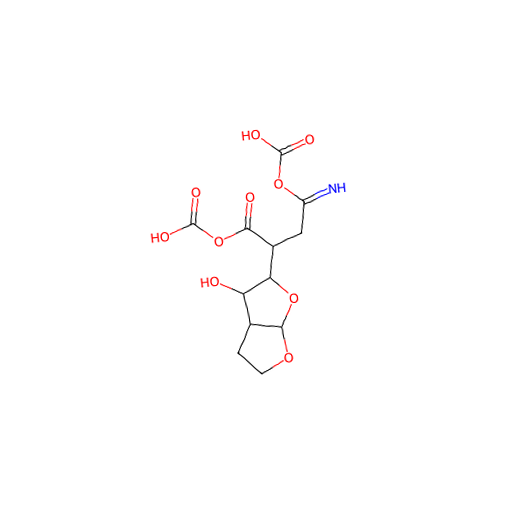 N=C(CC(C(=O)OC(=O)O)C1OC2OCCC2C1O)OC(=O)O